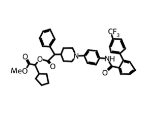 COC(=O)C(OC(=O)C(c1ccccc1)C1CCN(c2ccc(NC(=O)c3ccccc3-c3ccc(C(F)(F)F)cc3)cc2)CC1)C1CCCC1